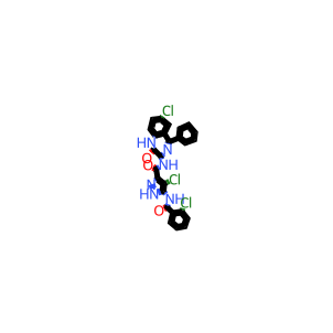 O=C(Nc1[nH]nc(C(=O)NC2N=C(c3ccccc3)c3cc(Cl)ccc3NC2=O)c1Cl)c1ccccc1Cl